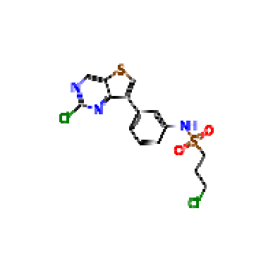 O=S(=O)(CCCCl)Nc1cccc(-c2csc3cnc(Cl)nc23)c1